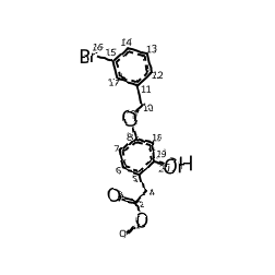 COC(=O)Cc1ccc(OCc2cccc(Br)c2)cc1O